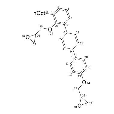 CCCCCCCCc1cccc(C2C=CC(c3ccc(OCC4CO4)cc3)C=C2)c1OCC1CO1